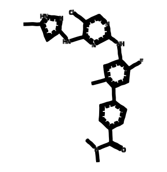 Cc1cc(Nc2nc(Nc3cc(C)c(-c4ccc(C(=O)N(C)C)cc4)cc3F)ncc2Cl)n[nH]1